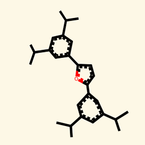 CC(C)c1cc(-c2ccc(-c3cc(C(C)C)cc(C(C)C)c3)o2)cc(C(C)C)c1